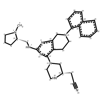 CN1CCC[C@H]1CNc1nc2c(c(N3CCN[C@@H](CC#N)C3)n1)CCN(c1cccc3ccccc13)C2